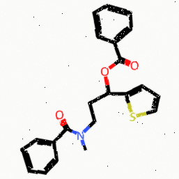 CN(CCC(OC(=O)c1ccccc1)c1cccs1)C(=O)c1ccccc1